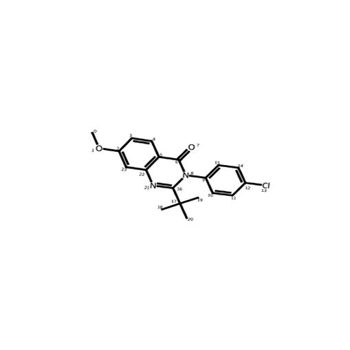 COc1ccc2c(=O)n(-c3ccc(Cl)cc3)c(C(C)(C)C)nc2c1